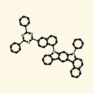 c1ccc(-c2nc(-c3ccccc3)nc(-c3ccc4c(-n5c6ccccc6c6cc7c8c9ccccc9ccc8n(-c8ccccc8)c7cc65)cccc4c3)n2)cc1